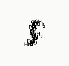 CN(C)C(=O)c1cc(F)c(C2CCN(Cc3cc4c(-n5cc(F)c6c(c5=O)CCN6)ccnc4n3C)CC2)c(F)c1